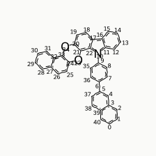 c1ccc2cc(-c3ccc(-n4c5ccccc5c5ccc6c(c54)Oc4ccc5ccccc5c4O6)cc3)ccc2c1